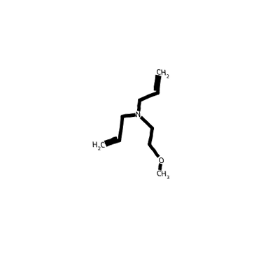 C=CCN(CC=C)CCOC